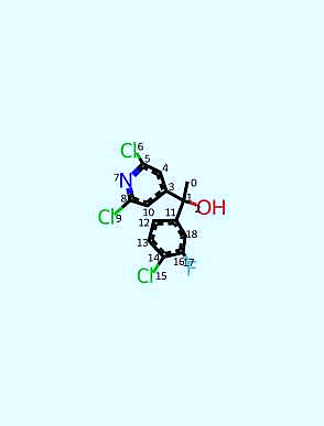 CC(O)(c1cc(Cl)nc(Cl)c1)c1ccc(Cl)c(F)c1